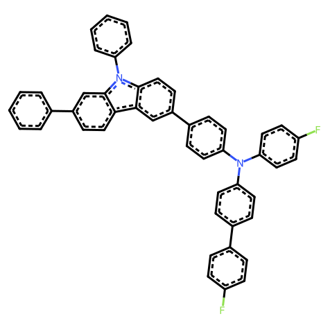 Fc1ccc(-c2ccc(N(c3ccc(F)cc3)c3ccc(-c4ccc5c(c4)c4ccc(-c6ccccc6)cc4n5-c4ccccc4)cc3)cc2)cc1